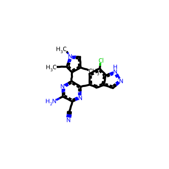 Cc1cn(C)c(C)c1-c1nc(N)c(C#N)nc1-c1cc(Cl)c2[nH]ncc2c1